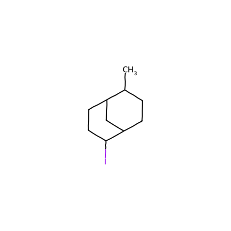 CC1CCC2CC1CCC2I